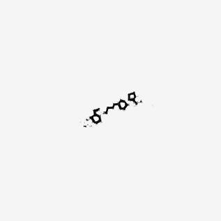 COC(=O)C1(Oc2ccc(CCCCn3ccc4cc(OS(C)(=O)=O)ccc43)cc2)CCCC1